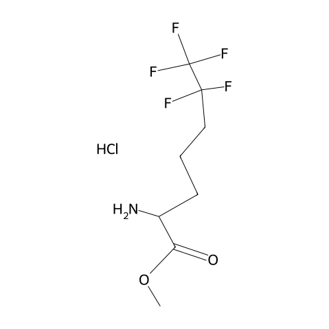 COC(=O)C(N)CCCC(F)(F)C(F)(F)F.Cl